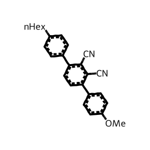 CCCCCCc1ccc(-c2ccc(-c3ccc(OC)cc3)c(C#N)c2C#N)cc1